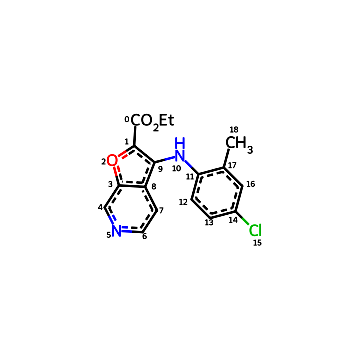 CCOC(=O)c1oc2cnccc2c1Nc1ccc(Cl)cc1C